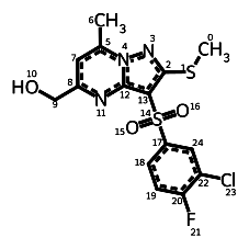 CSc1nn2c(C)cc(CO)nc2c1S(=O)(=O)c1ccc(F)c(Cl)c1